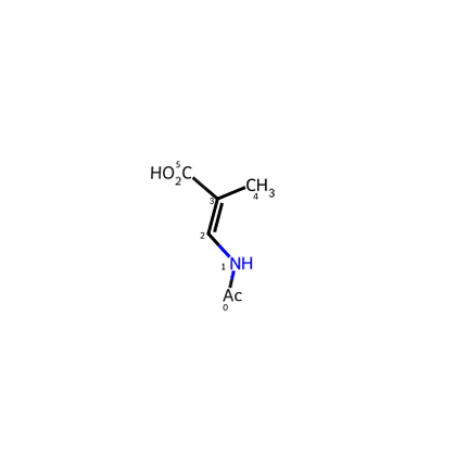 CC(=O)N/C=C(\C)C(=O)O